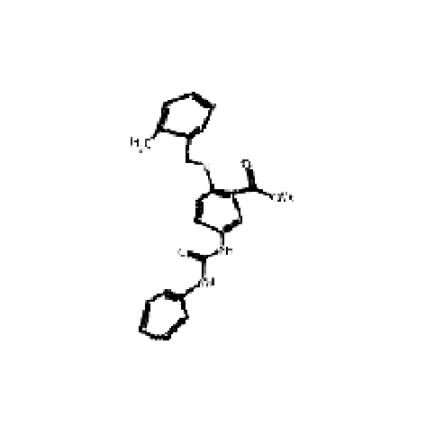 COC(=O)c1cc(NC(=O)Nc2ccccc2)ccc1OCc1ccccc1C